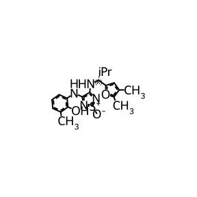 Cc1cc([C@H](Nc2n[s+]([O-])nc2Nc2cccc(C)c2O)C(C)C)oc1C